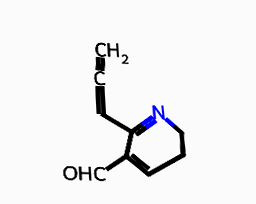 C=C=CC1=NCCC=C1C=O